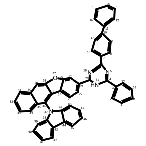 c1ccc(C2=NC(c3ccc(-c4ccccc4)cc3)=NC(c3ccc4c(c3)oc3cc5ccccc5c(-n5c6ccccc6c6ccccc65)c34)N2)cc1